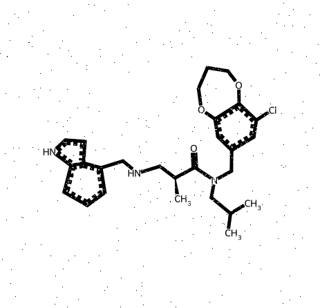 CC(C)CN(Cc1cc(Cl)c2c(c1)OCCCO2)C(=O)[C@@H](C)CNCc1cccc2[nH]ccc12